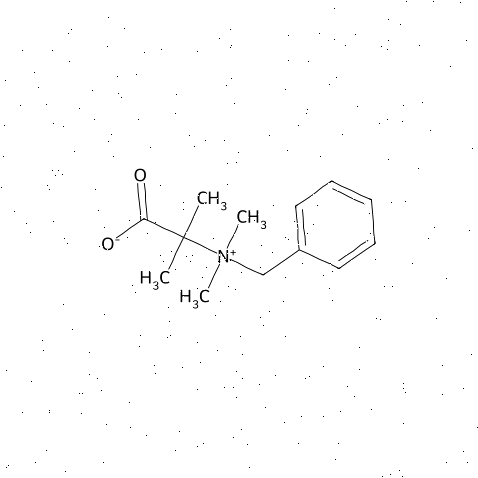 CC(C)(C(=O)[O-])[N+](C)(C)Cc1ccccc1